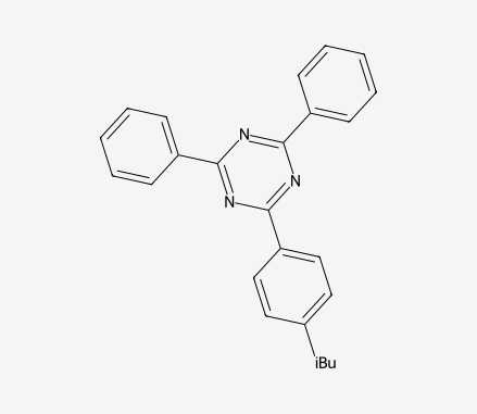 CCC(C)c1ccc(-c2nc(-c3ccccc3)nc(-c3ccccc3)n2)cc1